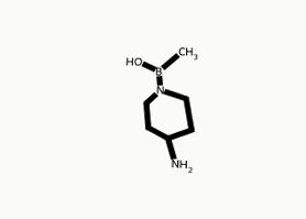 CB(O)N1CCC(N)CC1